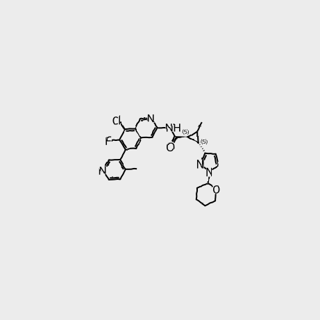 Cc1ccncc1-c1cc2cc(NC(=O)[C@H]3C(C)[C@@H]3c3ccn(C4CCCCO4)n3)ncc2c(Cl)c1F